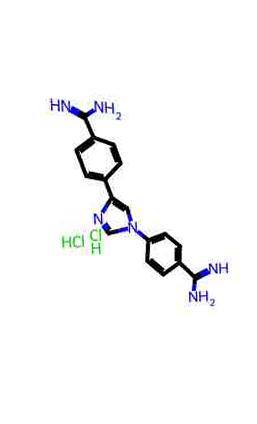 Cl.Cl.N=C(N)c1ccc(-c2cn(-c3ccc(C(=N)N)cc3)cn2)cc1